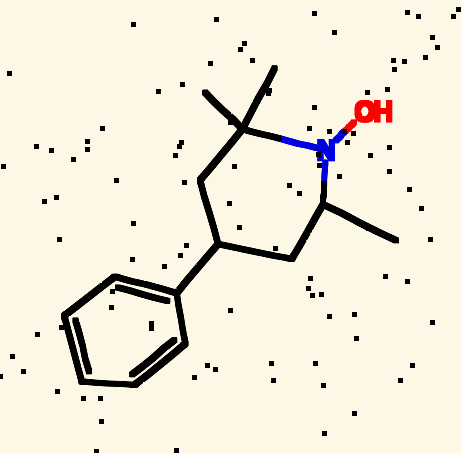 CC1CC(c2ccccc2)CC(C)(C)N1O